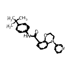 CC(C)(C)c1ccc(NC(=O)c2cccc3c2OCCN3c2cccnc2)cc1